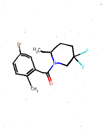 Cc1ccc(Br)cc1C(=O)N1CC(F)(F)CCC1C